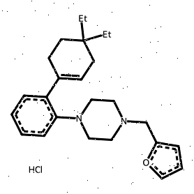 CCC1(CC)CC=C(c2ccccc2N2CCN(Cc3ccco3)CC2)CC1.Cl